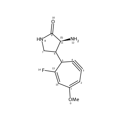 COC1=CC#CC(C2CNC(=O)[C@H]2N)C(F)=C1